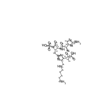 NCCCCNCc1cnn(C[C@@H]2[C@H](NC(=O)C(=NOC3(C(=O)O)CC3)c3csc(N)n3)C(=O)N2S(=O)(=O)O)n1